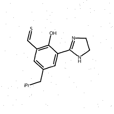 CC(C)Cc1cc(C=S)c(O)c(C2=NCCN2)c1